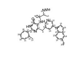 CNC(C)C(=O)Nc1c(Cc2cncc(-n3ccc4cc(F)ccc43)c2)nc(-c2ccccc2C)[nH]c1=O